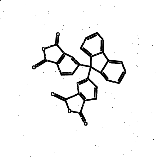 O=C1OC(=O)c2cc(C3(c4ccc5c(c4)C(=O)OC5=O)c4ccccc4-c4ccccc43)ccc21